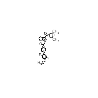 COc1cc(F)c(N2CCN(C(=O)Cn3nc(C(=O)N4C[C@@H](C)O[C@@H](C)C4)c4c3CCC4)CC2)cc1F